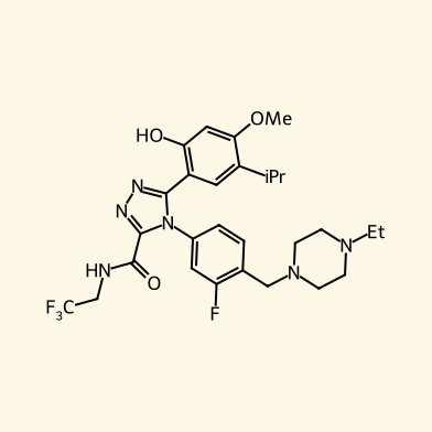 CCN1CCN(Cc2ccc(-n3c(C(=O)NCC(F)(F)F)nnc3-c3cc(C(C)C)c(OC)cc3O)cc2F)CC1